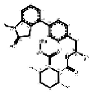 C[C@@H]1CC[C@H](C)N(C(=O)OC(C)(C)C)[C@@H]1C(=O)N[C@H](C#N)Cc1ccc(-c2cccc3c2CC(=O)N3C)cc1